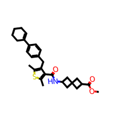 COC(=O)C1CC2(CC(NC(=O)c3c(C)sc(C)c3Cc3ccc(C4=CCCCC4)cc3)C2)C1